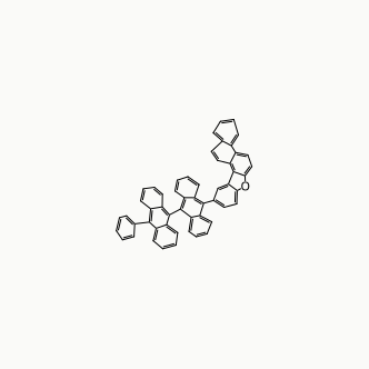 c1ccc(-c2c3ccccc3c(-c3c4ccccc4c(-c4ccc5oc6ccc7c8ccccc8ccc7c6c5c4)c4ccccc34)c3ccccc23)cc1